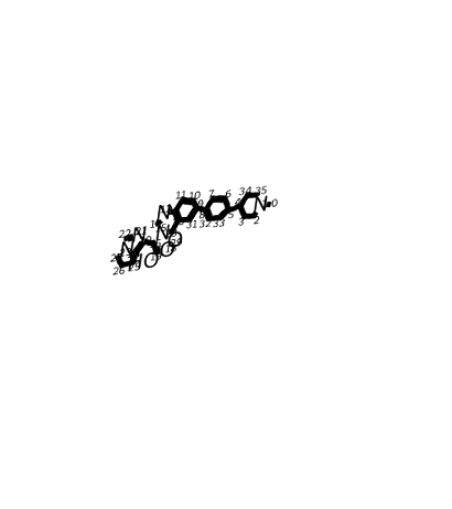 CN1CCC(c2ccc(-c3ccc4ncn(C(C(=O)O)c5ncn6c5CCC6)c(=O)c4c3)cc2)CC1